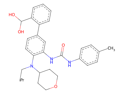 Cc1ccc(NC(=O)Nc2cc(-c3ccccc3C(O)O)ccc2N(CC(C)C)C2CCOCC2)cc1